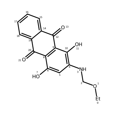 CCOCNc1cc(O)c2c(c1O)C(=O)c1ccccc1C2=O